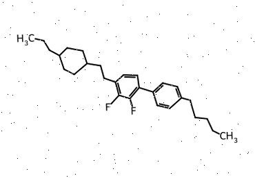 CCCCCc1ccc(-c2ccc(CCC3CCC(CCC)CC3)c(F)c2F)cc1